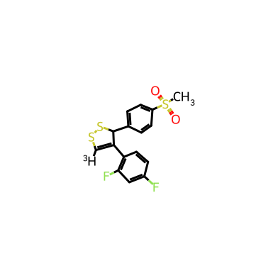 [3H]C1=C(c2ccc(F)cc2F)C(c2ccc(S(C)(=O)=O)cc2)SS1